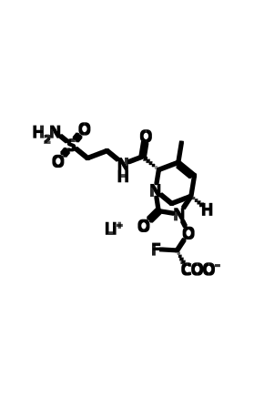 CC1=C[C@@H]2CN(C(=O)N2O[C@@H](F)C(=O)[O-])[C@@H]1C(=O)NCCS(N)(=O)=O.[Li+]